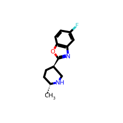 C[C@@H]1CC[C@@H](c2nc3cc(F)ccc3o2)CN1